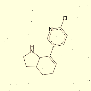 Clc1ccc(C2=CCCC3CCNC23)cn1